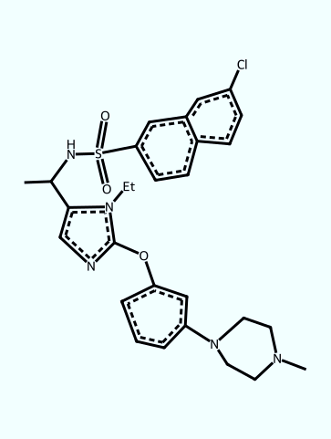 CCn1c(C(C)NS(=O)(=O)c2ccc3ccc(Cl)cc3c2)cnc1Oc1cccc(N2CCN(C)CC2)c1